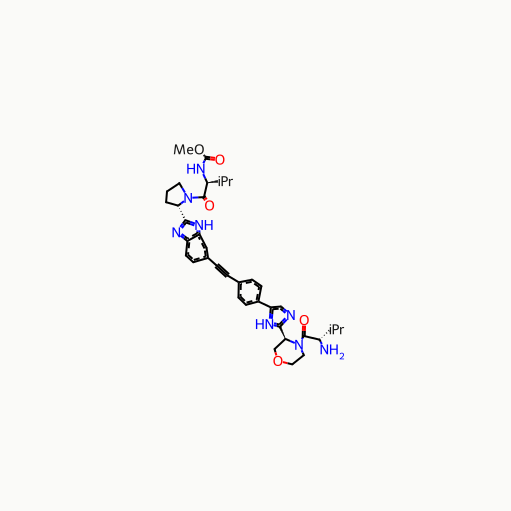 COC(=O)N[C@H](C(=O)N1CCC[C@H]1c1nc2ccc(C#Cc3ccc(-c4cnc([C@@H]5COCCN5C(=O)[C@@H](N)C(C)C)[nH]4)cc3)cc2[nH]1)C(C)C